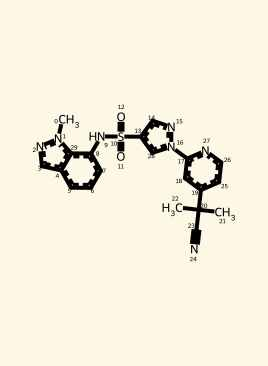 Cn1ncc2cccc(NS(=O)(=O)c3cnn(-c4cc(C(C)(C)C#N)ccn4)c3)c21